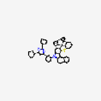 c1ccc(-c2cc(-c3cccc(-n4c5ccc6c(c5c5c7ccccc7ccc54)Sc4ccccc4C64c5ccccc5-c5ccccc54)c3)nc(-c3ccccc3)n2)cc1